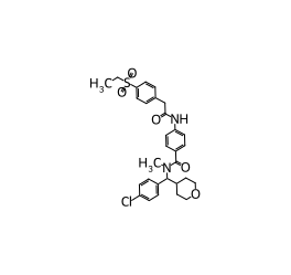 CCS(=O)(=O)c1ccc(CC(=O)Nc2ccc(C(=O)N(C)C(c3ccc(Cl)cc3)C3CCOCC3)cc2)cc1